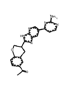 CC(=O)c1ccc2c(c1)CC(c1nc3cc(-c4ccnc(N)n4)cnc3[nH]1)CO2